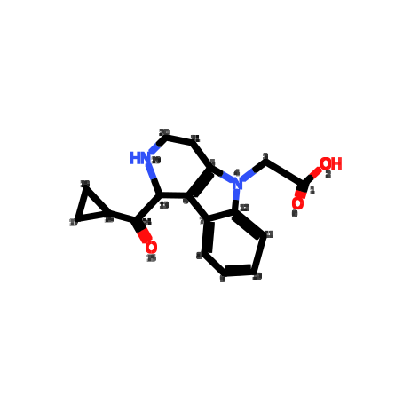 O=C(O)Cn1c2c(c3ccccc31)C(C(=O)C1CC1)NCC2